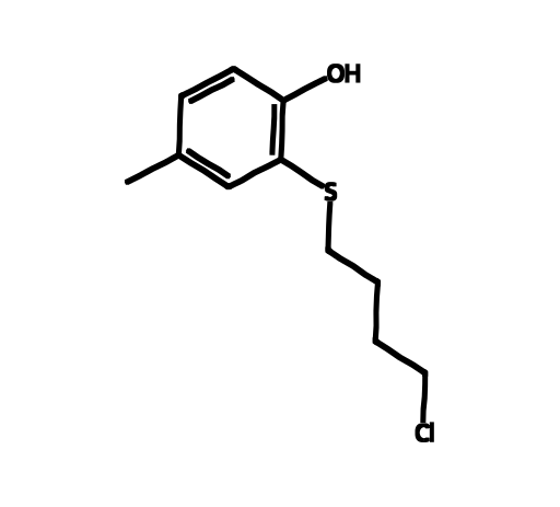 Cc1ccc(O)c(SCCCCCl)c1